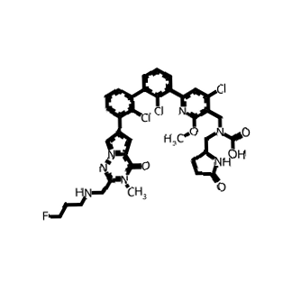 COc1nc(-c2cccc(-c3cccc(-c4cc5c(=O)n(C)c(CNCCCF)nn5c4)c3Cl)c2Cl)cc(Cl)c1CN(CC1CCC(=O)N1)C(=O)O